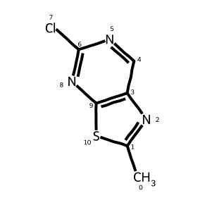 Cc1nc2cnc(Cl)nc2s1